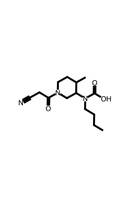 CCCCN(C(=O)O)C1CN(C(=O)CC#N)CCC1C